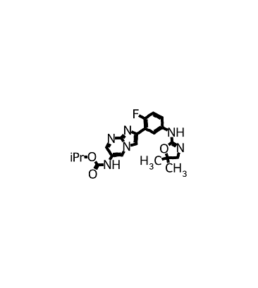 CC(C)OC(=O)Nc1cnc2nc(-c3cc(NC4=NCC(C)(C)O4)ccc3F)cn2c1